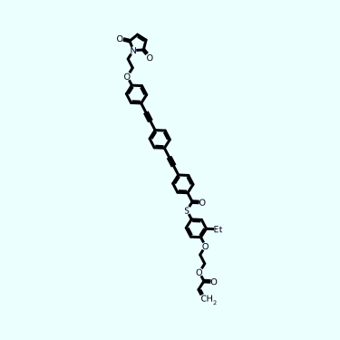 C=CC(=O)OCCOc1ccc(SC(=O)c2ccc(C#Cc3ccc(C#Cc4ccc(OCCN5C(=O)C=CC5=O)cc4)cc3)cc2)cc1CC